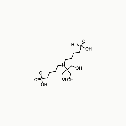 O=P(O)(O)CCCCN(CCCCP(=O)(O)O)C(CO)(CO)CO